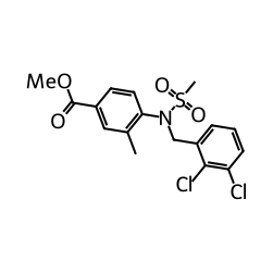 COC(=O)c1ccc(N(Cc2cccc(Cl)c2Cl)S(C)(=O)=O)c(C)c1